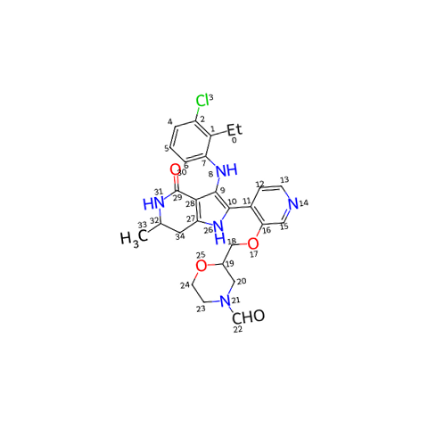 CCc1c(Cl)cccc1Nc1c(-c2ccncc2OCC2CN(C=O)CCO2)[nH]c2c1C(=O)NC(C)C2